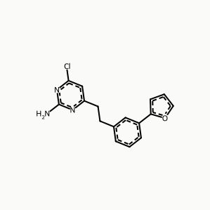 Nc1nc(Cl)cc(CCc2cccc(-c3ccco3)c2)n1